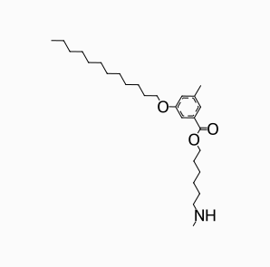 CCCCCCCCCCCCOc1cc(C)cc(C(=O)OCCCCCCNC)c1